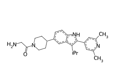 Cc1cc(-c2[nH]c3ccc(C4CCN(C(=O)CN)CC4)cc3c2C(C)C)cc(C)n1